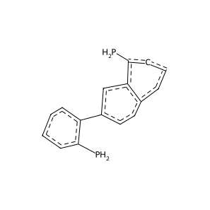 Pc1ccccc1-c1ccc2cccc(P)c2c1